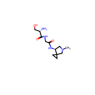 CN1C[C@H](NC(=O)CNC(=O)[C@@H](N)CO)C2(CC2)C1